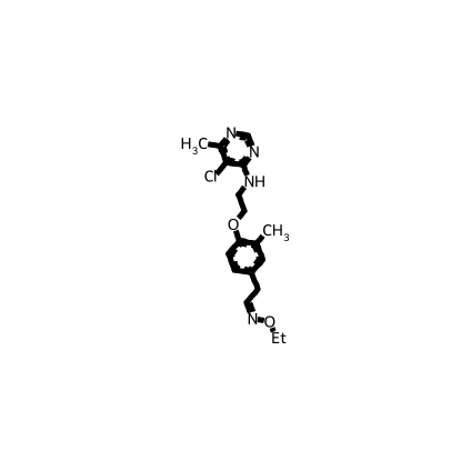 CCO/N=C\Cc1ccc(OCCNc2ncnc(C)c2Cl)c(C)c1